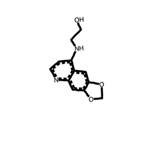 OCCNc1ccnc2cc3c(cc12)OCO3